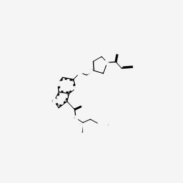 C=CC(=O)N1CC[C@H](COc2cnc3[nH]cc(C(=O)N[C@H](C)COC)c3n2)C1